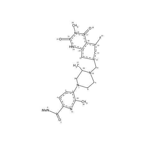 CNC(=O)c1ccc(N2CCN(Cc3cc(F)c4c(=O)n(C)c(=O)[nH]c4c3)C(C)C2)c(C)n1